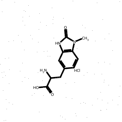 Cl.Cn1c(=O)[nH]c2cc(CC(N)C(=O)O)ccc21